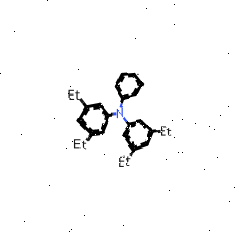 CCc1cc(CC)cc(N(c2cc[c]cc2)c2cc(CC)cc(CC)c2)c1